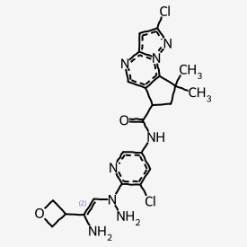 CC1(C)CC(C(=O)Nc2cnc(N(N)/C=C(\N)C3COC3)c(Cl)c2)c2cnc3cc(Cl)nn3c21